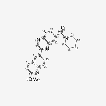 COc1ccc2cc(-c3cnc4ccc(C(=O)N5CCCCC5)cc4n3)ccc2n1